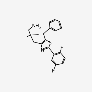 CC(C)(CN)Cc1nc(-c2cc(F)ccc2F)sc1Cc1ccccc1